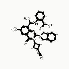 Cc1cc(C(C)Nc2ccccc2C(=O)O)c2nc(N3Cc4ccccc4C3)n(C3CC(C#N)C3)c(=O)c2c1